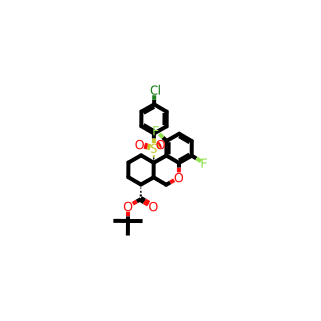 CC(C)(C)OC(=O)[C@@H]1CCC[C@@]2(S(=O)(=O)c3ccc(Cl)cc3)c3c(F)ccc(F)c3OCC12